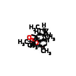 C=C1[C@H]2C[C@H]2[C@@]2(C)[C@H]1C[C@@]13C4=COC(C)(C)[C@@H]1C[C@H]1C(C)=CC[C@@H]2[C@]13OC4=O